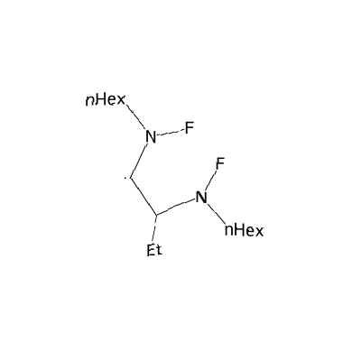 CCCCCCN(F)[CH]C(CC)N(F)CCCCCC